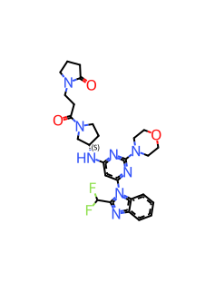 O=C1CCCN1CCC(=O)N1CC[C@H](Nc2cc(-n3c(C(F)F)nc4ccccc43)nc(N3CCOCC3)n2)C1